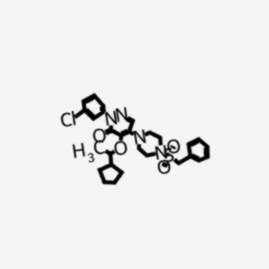 CC(Oc1c(N2CCN(S(=O)(=O)Cc3ccccc3)CC2)cnn(-c2cccc(Cl)c2)c1=O)C1CCCC1